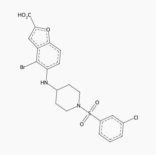 O=C(O)c1cc2c(Br)c(NC3CCN(S(=O)(=O)c4cccc(Cl)c4)CC3)ccc2o1